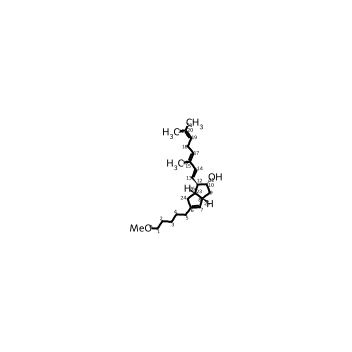 COCCCCCC1=C[C@H]2C[C@@H](O)[C@H](/C=C/C(C)=C/CC=C(C)C)[C@H]2C1